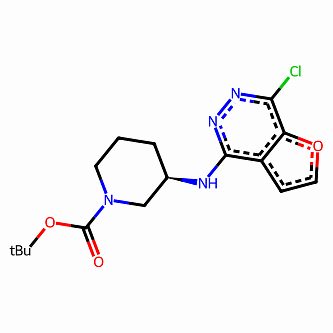 CC(C)(C)OC(=O)N1CCC[C@@H](Nc2nnc(Cl)c3occc23)C1